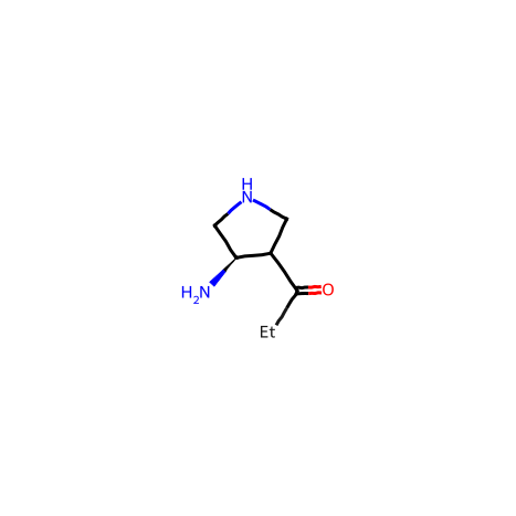 CCC(=O)C1CNC[C@@H]1N